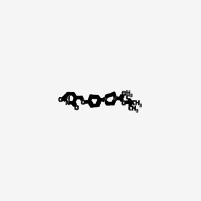 CC(C)(C)OC(=O)N1CCN(c2ccc(OCC3CCC(=O)NC3=O)cc2)CC1